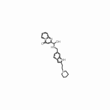 O=c1cc(C(O)NCc2ccc3cc(CCN4CCCCC4)[nH]c3c2)nc2ccccn12